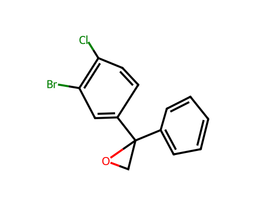 Clc1ccc(C2(c3ccccc3)CO2)cc1Br